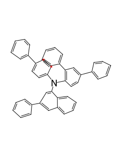 c1ccc(-c2ccc(N(c3ccc(-c4ccccc4)cc3-c3ccccc3)c3cc(-c4ccccc4)cc4ccccc34)cc2)cc1